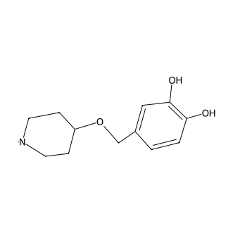 Oc1ccc(COC2CC[N]CC2)cc1O